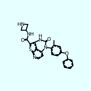 Cc1cc(Oc2ccccc2)ccc1N1C(=O)Nc2c(C(=O)NC3CNC3)sc3nccc1c23